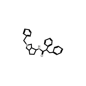 O=C(NC1CCC2CN(Cc3ccccc3)CC21)C(Cc1ccccc1)c1ccccc1